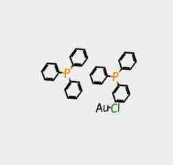 [Cl][Au].c1ccc(P(c2ccccc2)c2ccccc2)cc1.c1ccc(P(c2ccccc2)c2ccccc2)cc1